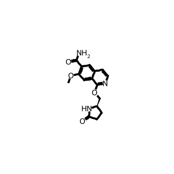 COc1cc2c(OC[C@H]3CCC(=O)N3)nccc2cc1C(N)=O